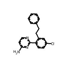 Nc1ccnc(-c2ccc(Cl)cc2CCc2ccccc2)n1